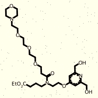 CCOC(=O)CCCN(CCOc1cc(CO)nc(CO)c1)C(=O)CCOCCOCCOCCN1CCOCC1